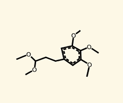 COc1cc(CCC(OC)OC)cc(OC)c1OC